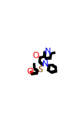 Cc1cc2c(cn1)c(=O)cc(Sc1ccoc1C)n2-c1ccccc1